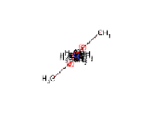 CCCCCCCCCCCCCCCCCCOC(=O)CCc1cc(C(C)(C)C)c(OP2N(c3ccccc3)P(Oc3c(C(C)(C)C)cc(CCC(=O)OCCCCCCCCCCCCCCCCCC)cc3C(C)(C)C)N2c2ccccc2)c(C(C)(C)C)c1